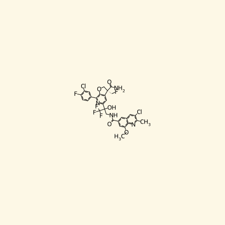 COc1cc(C(=O)NCC(O)(c2cc3c(c(-c4ccc(F)c(Cl)c4)n2)OC[C@@]3(CF)C(N)=O)C(F)(F)F)cc2cc(Cl)c(C)nc12